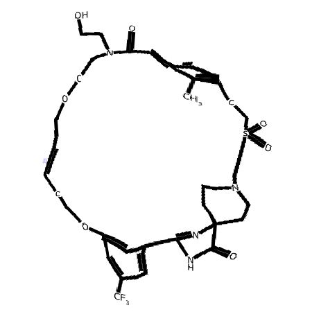 Cc1cc2ccc1CCS(=O)(=O)N1CCC3(CC1)N=C(NC3=O)c1cc(cc(C(F)(F)F)c1)OCC/C=C/COCCN(CCO)C2=O